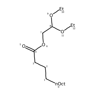 CCCCCCCCCCCC(=O)OCC(OCC)OCC